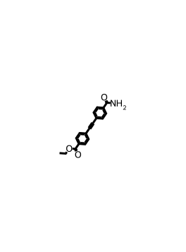 CCOC(=O)c1ccc(C#Cc2ccc(C(N)=O)cc2)cc1